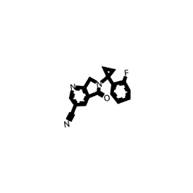 N#Cc1cnc2c(c1)C(=O)N(C1(c3ccccc3F)CC1)C2